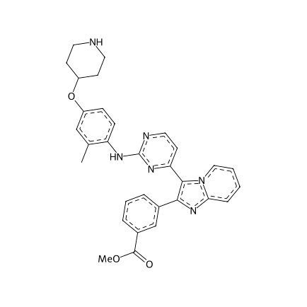 COC(=O)c1cccc(-c2nc3ccccn3c2-c2ccnc(Nc3ccc(OC4CCNCC4)cc3C)n2)c1